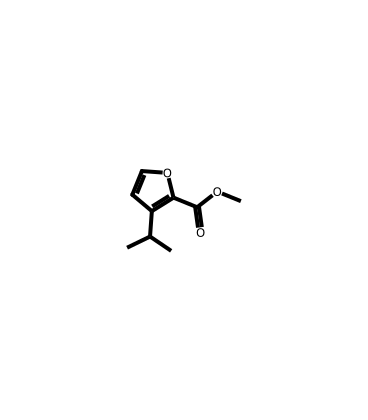 COC(=O)c1occc1C(C)C